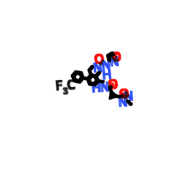 Cc1noc(C2CC2C(=O)NCc2ccc(-c3cccc(C(F)(F)F)c3)c3c2CN(C(=O)Nc2ccon2)CC3)n1